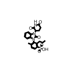 CCCc1c(S(=O)(=O)O)ccc(C)c1-n1c(=O)n(C2CCC(=O)NC2=O)c2ccccc21